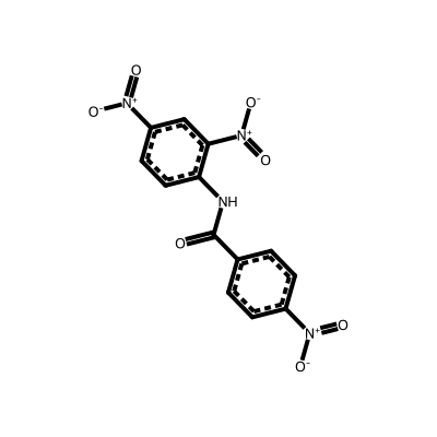 O=C(Nc1ccc([N+](=O)[O-])cc1[N+](=O)[O-])c1ccc([N+](=O)[O-])cc1